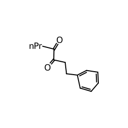 CCCC(=O)C(=O)CCc1ccccc1